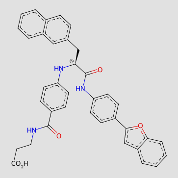 O=C(O)CCNC(=O)c1ccc(N[C@@H](Cc2ccc3ccccc3c2)C(=O)Nc2ccc(-c3cc4ccccc4o3)cc2)cc1